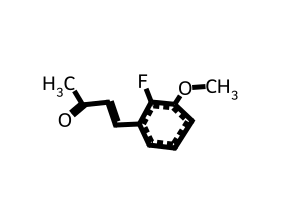 COc1cccc(C=CC(C)=O)c1F